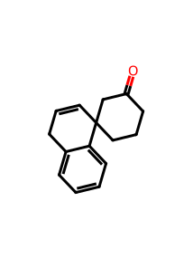 O=C1CCCC2(C=CCc3ccccc32)C1